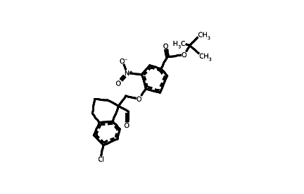 CC(C)(C)OC(=O)c1ccc(OCC2(C=O)CCCc3cc(Cl)ccc32)c([N+](=O)[O-])c1